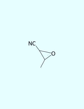 CC1OC1C#N